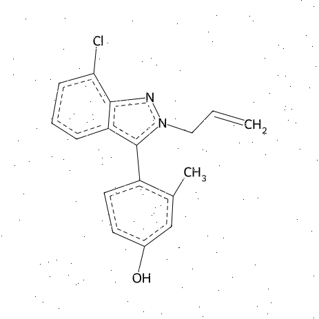 C=CCn1nc2c(Cl)cccc2c1-c1ccc(O)cc1C